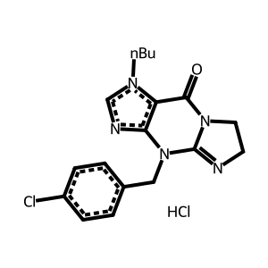 CCCCn1cnc2c1C(=O)N1CCN=C1N2Cc1ccc(Cl)cc1.Cl